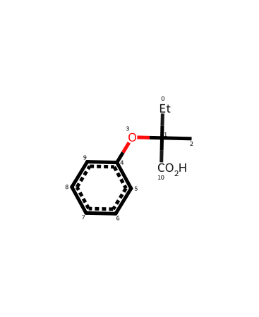 CCC(C)(Oc1ccccc1)C(=O)O